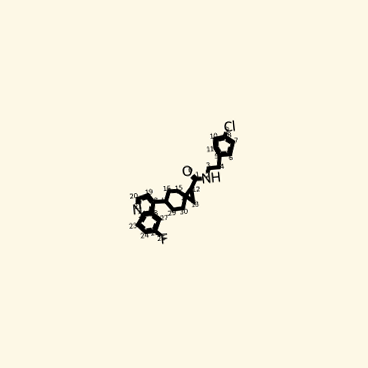 O=C(NCCc1ccc(Cl)cc1)C1CC12CCC(c1ccnc3ccc(F)cc13)CC2